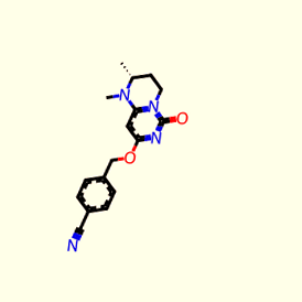 C[C@@H]1CCn2c(cc(OCc3ccc(C#N)cc3)nc2=O)N1C